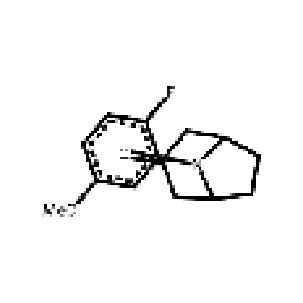 COc1ccc(F)c(N2C3CCC2CC(=O)C3)c1